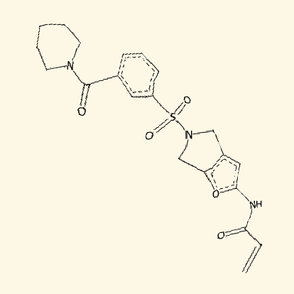 C=CC(=O)Nc1cc2c(o1)CN(S(=O)(=O)c1cccc(C(=O)N3CCCCC3)c1)C2